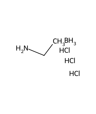 B.CCN.Cl.Cl.Cl